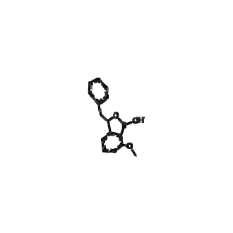 COc1cccc2c1B(O)OC2Cc1ccccc1